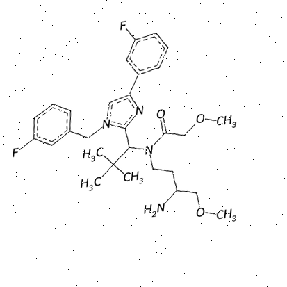 COCC(=O)N(CCC(N)COC)C(c1nc(-c2cccc(F)c2)cn1Cc1cccc(F)c1)C(C)(C)C